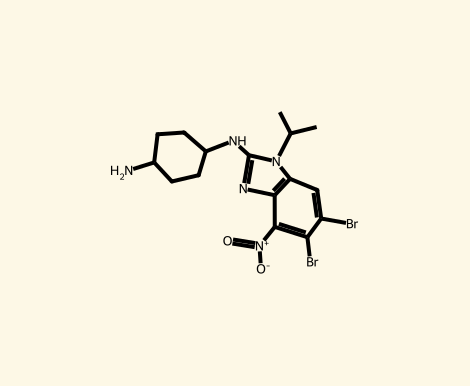 CC(C)n1c(NC2CCC(N)CC2)nc2c([N+](=O)[O-])c(Br)c(Br)cc21